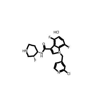 Cl.O=C(N[C@H]1CCNC[C@H]1F)c1cn(Cc2ccnc(Cl)c2)c2c(F)ccc(F)c12